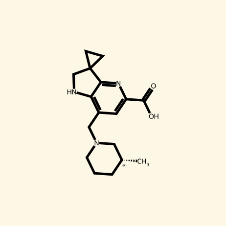 C[C@@H]1CCCN(Cc2cc(C(=O)O)nc3c2NCC32CC2)C1